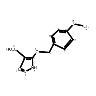 O=C(O)c1nn[nH]c1OCc1ccc(SC(F)(F)F)cc1